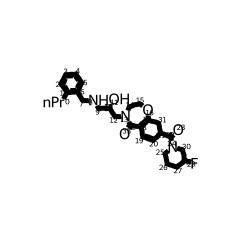 CCCc1ccccc1CNC[C@@H](O)CN1CCOC2=C(C=CC(C(=O)N3CCCC(F)C3)C2)C1=O